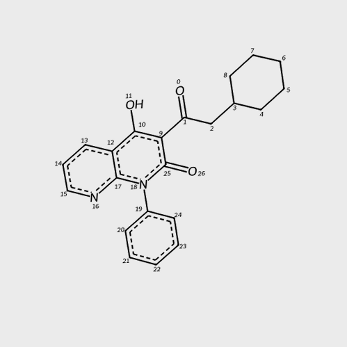 O=C(CC1CCCCC1)c1c(O)c2cccnc2n(-c2ccccc2)c1=O